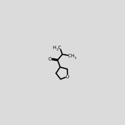 CC(C)C(=O)C1CCOC1